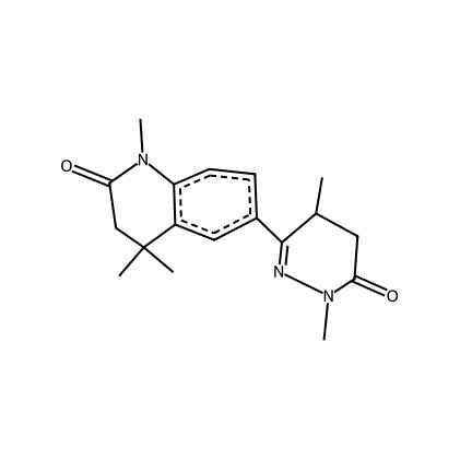 CC1CC(=O)N(C)N=C1c1ccc2c(c1)C(C)(C)CC(=O)N2C